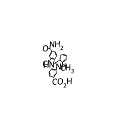 Cc1ccccc1C1(c2ccc(C(N)=O)cc2Cl)Nc2ccc(C(=O)O)cc2N1